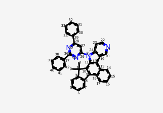 CC1(C)c2ccccc2-c2c1c1c(c3ccccc23)c2cnccc2n1-c1cc(-c2ccccc2)nc(-c2ccccc2)n1